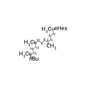 CCCCCCC(C)CCCC(C)CCCC(C)CCCC(C)CCCC